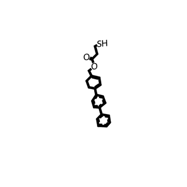 O=C(CCS)OCC1=CC=C(c2ccc(-c3ccccc3)cc2)CC1